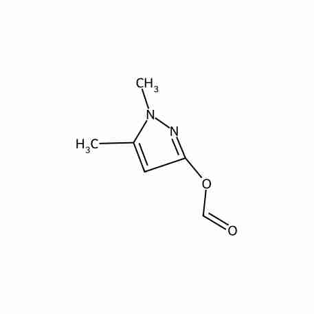 Cc1cc(OC=O)nn1C